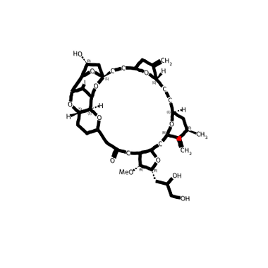 C=C1CC2CC[C@]34C[C@@H](O)C(O3)C3O[C@H]5CCC(CC(=O)CC6C(C[C@H]7O[C@@H](CC[C@@H]1O2)C[C@@H](C)C7=C)O[C@H](CC(O)CO)[C@@H]6OC)O[C@@H]5C(O4)C3I